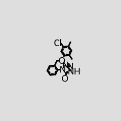 Cc1cc(C)c(OCc2ccccc2-n2nn[nH]c2=O)cc1Cl